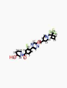 O=C(c1ccc(-c2cnc(OCC3CCN(CC4(C(F)(F)F)CCC4)CC3)cn2)c(F)c1)N1CCCC(O)C1